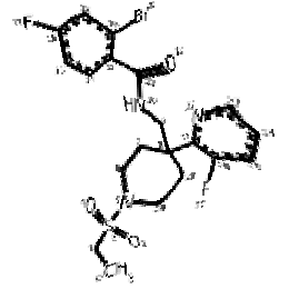 CCS(=O)(=O)N1CCC(CNC(=O)c2ccc(F)cc2Br)(c2ncccc2F)CC1